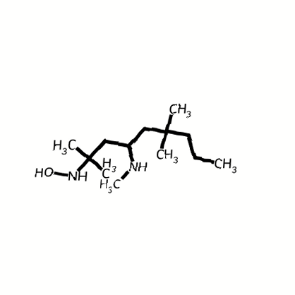 CCCC(C)(C)CC(CC(C)(C)NO)NC